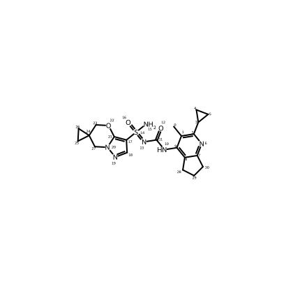 Cc1c(C2CC2)nc2c(c1NC(=O)N=S(N)(=O)c1cnn3c1OCC1(CC1)C3)CCC2